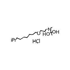 CC(C)CCCCCCCOCCCN(C)C(C)(O)O.Cl